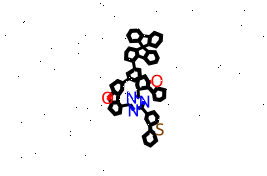 c1cc(-c2ccc3oc4cccc(-c5nc(-c6ccc7sc8ccccc8c7c6)nc(-c6cccc7oc8ccccc8c67)n5)c4c3c2)cc(-c2cccc3c2-c2ccccc2C32c3ccccc3-c3ccccc32)c1